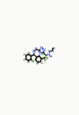 C=CCN(C)Cc1nnc2n1-c1c(cccc1C(F)(F)F)C(c1ccccc1F)=NC2